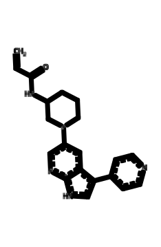 C=CC(=O)NC1CCCN(c2cnc3[nH]cc(-c4ccncc4)c3c2)C1